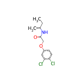 C=C(CC)NC(=O)COc1ccc(Cl)c(Cl)c1